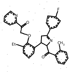 CCc1cccc(C2CC(c3ccc(F)cc3)=NC2C(=O)c2ccccc2C)c1OCC(=O)c1ccccn1